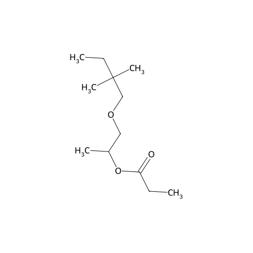 CCC(=O)OC(C)COCC(C)(C)CC